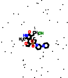 C=CC(N1CCCC(N2CCCCC2)C1)S(=O)(=O)c1ccoc1-c1cc(CC)c(=O)[nH]c1C.Cl